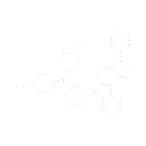 CC(C)(C)c1ccc(N(c2ccc(C(C)(C)C)cc2)c2cccc(-n3c4ccccc4c4c5ccn(-c6ccccc6)c5ccc43)c2)cc1